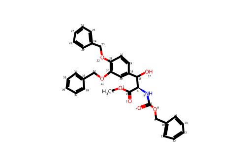 COC(=O)[C@H](NC(=O)OCc1ccccc1)C(O)c1ccc(OCc2ccccc2)c(OCc2ccccc2)c1